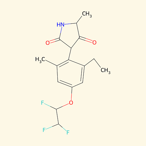 CCc1cc(OC(F)C(F)F)cc(C)c1C1C(=O)NC(C)C1=O